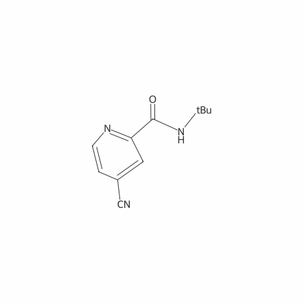 CC(C)(C)NC(=O)c1cc(C#N)ccn1